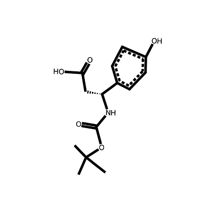 CC(C)(C)OC(=O)N[C@H](CC(=O)O)c1ccc(O)cc1